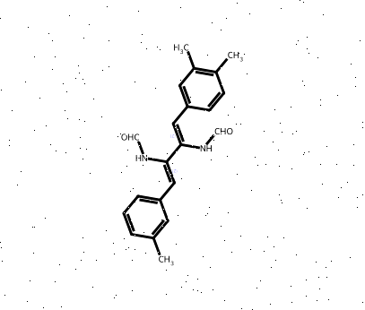 Cc1cccc(/C=C(NC=O)/C(=C/c2ccc(C)c(C)c2)NC=O)c1